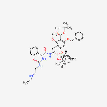 CCNCCNC(=O)NC(C(=O)N[C@@H](Cc1ccc(OCc2ccccc2)c(C(=O)OC(C)(C)C)c1OC)B1O[C@@H]2C[C@@H]3C[C@@H](C3(C)C)[C@]2(C)O1)c1ccccc1